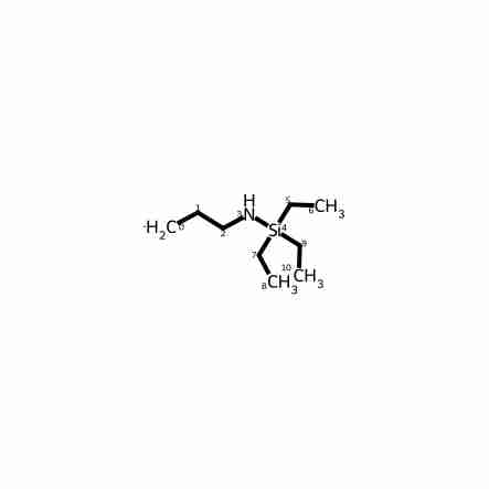 [CH2]CCN[Si](CC)(CC)CC